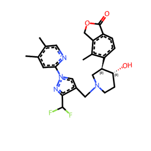 Cc1cnc(-n2cc(CN3CC[C@@H](O)[C@H](c4ccc5c(c4C)COC5=O)C3)c(C(F)F)n2)cc1C